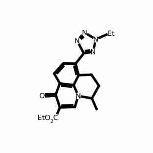 CCOC(=O)c1cn2c3c(c(-c4nnn(CC)n4)ccc3c1=O)CCC2C